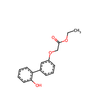 CCOC(=O)COc1cccc(-c2ccccc2O)c1